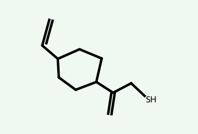 C=CC1CCC(C(=C)CS)CC1